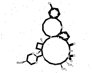 CN[C@H]1CO[C@@H]([C@@H]2CCC[C@H](C)[C@@H](C)S(=O)(=O)NC(=O)c3ccc4c(c3)N(CCCCc3cc(Cl)ccc3CO4)C[C@@H]3CC[C@H]32)OC1